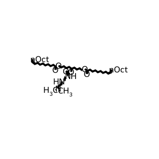 CCCCCCCC/C=C\CCCCCCCC(=O)OCCCCC(CCCCOC(=O)CCCCCCC/C=C\CCCCCCCC)OC(=O)NCCNCCN(C)C